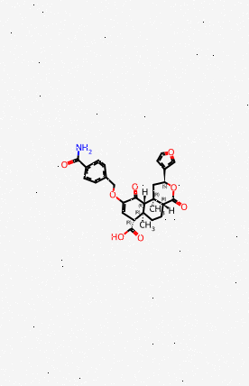 C[C@@]12CC[C@H]3C(=O)O[C@H](c4ccoc4)C[C@]3(C)[C@H]1C(=O)C(OCc1ccc(C(N)=O)cc1)=C[C@H]2C(=O)O